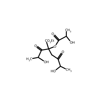 CCOC(=O)C(CC(=O)C(C)O)(OC(=O)C(C)O)C(=O)C(C)O